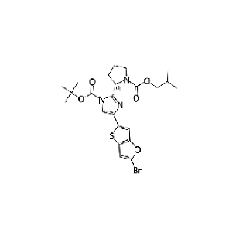 CC(C)COC(=O)N1CCC[C@H]1c1nc(-c2cc3oc(Br)cc3s2)cn1C(=O)OC(C)(C)C